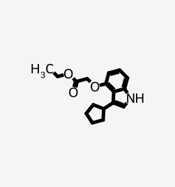 CCOC(=O)COc1cccc2[nH]cc(C3CCCC3)c12